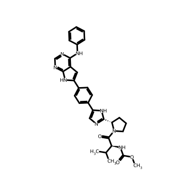 COC(=O)N[C@H](C(=O)N1CCC[C@H]1c1ncc(-c2ccc(-c3cc4c(Nc5ccccc5)ncnc4[nH]3)cc2)[nH]1)C(C)C